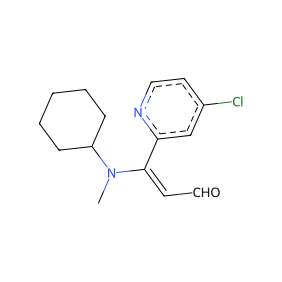 CN(/C(=C/C=O)c1cc(Cl)ccn1)C1CCCCC1